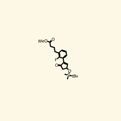 COC(=O)CCCc1cccc(C2=CC(O[Si](C)(C)C(C)(C)C)CC2=O)c1F